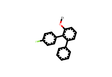 CCOc1cc[c]c(-c2ccccc2)c1-c1ccc(F)cc1